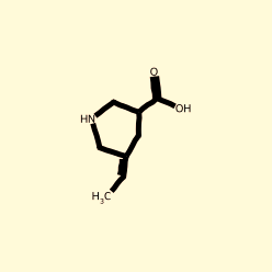 CC=C1CNCC(C(=O)O)C1